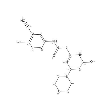 C#Cc1cc(NC(=O)Cc2nc(N3CCOCC3)cc(=O)[nH]2)ccc1F